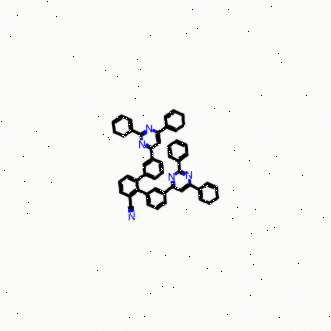 N#Cc1cccc(-c2cccc(-c3cc(C4=CCCC=C4)nc(C4=CC=CCC4)n3)c2)c1-c1cccc(-c2cc(C3=CCCC=C3)nc(-c3ccccc3)n2)c1